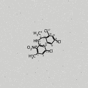 Cc1cc(Cl)nc(N[C@H](C)c2ccc(Cl)cc2Cl)c1[N+](=O)[O-]